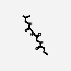 CSCC(=O)NCC(=O)NCC(=O)NCC(C)C